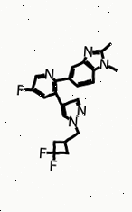 Cc1nc2cc(-c3ncc(F)cc3-c3cnn(CC4CC(F)(F)C4)c3)ccc2n1C